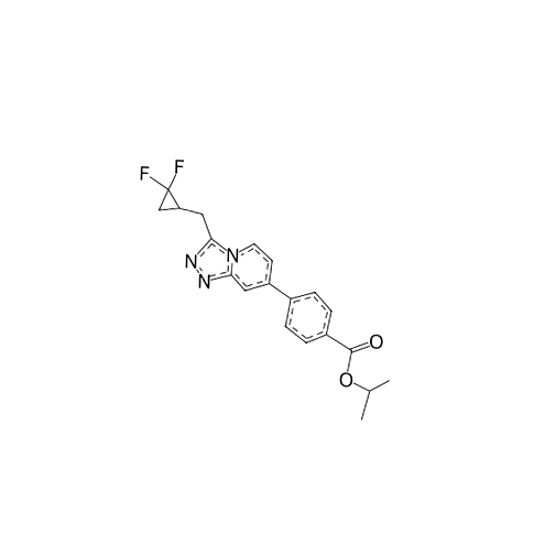 CC(C)OC(=O)c1ccc(-c2ccn3c(CC4CC4(F)F)nnc3c2)cc1